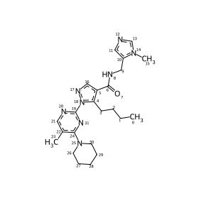 CCCCc1c(C(=O)NCc2cncn2C)cnn1-c1ncc(C)c(N2CCCCC2)n1